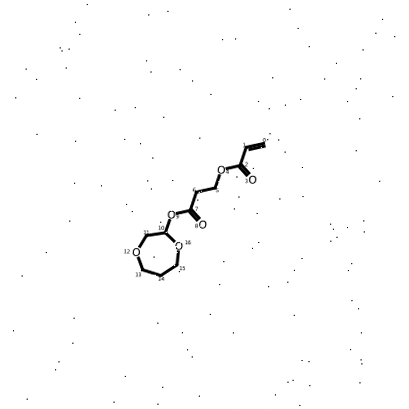 C=CC(=O)OCCC(=O)OC1COCCCO1